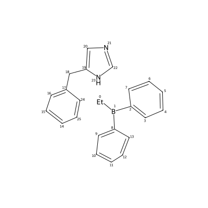 CCB(c1ccccc1)c1ccccc1.c1ccc(Cc2cnc[nH]2)cc1